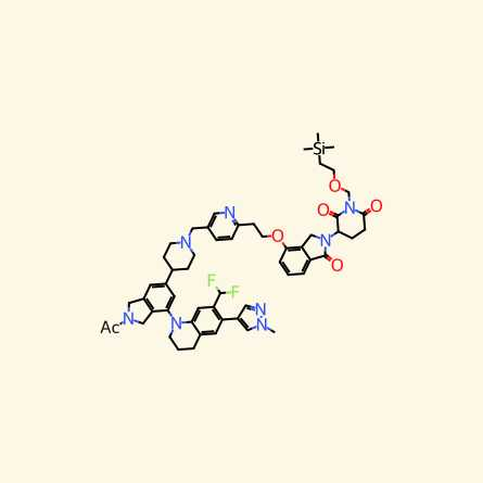 CC(=O)N1Cc2cc(C3CCN(Cc4ccc(CCOc5cccc6c5CN(C5CCC(=O)N(COCC[Si](C)(C)C)C5=O)C6=O)nc4)CC3)cc(N3CCCc4cc(-c5cnn(C)c5)c(C(F)F)cc43)c2C1